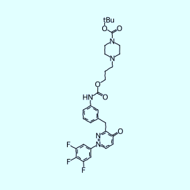 CC(C)(C)OC(=O)N1CCN(CCCOC(=O)Nc2cccc(Cc3nn(-c4cc(F)c(F)c(F)c4)ccc3=O)c2)CC1